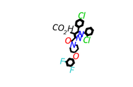 O=C(O)Cc1c(C(=O)N2CCC(Oc3cc(F)cc(F)c3)CC2)nn(-c2ccccc2Cl)c1-c1ccc(Cl)cc1